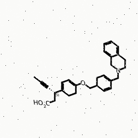 CC#C[C@@H](CC(=O)O)C1=CC=C(OCC2C=CC(CN3CCc4ccccc4C3)=CC2)CC1